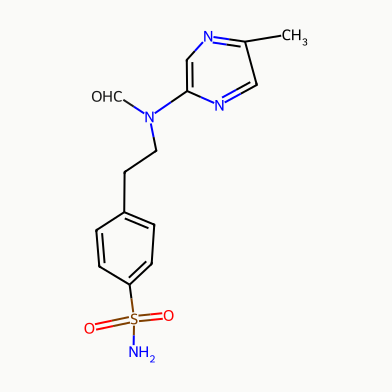 Cc1cnc(N(C=O)CCc2ccc(S(N)(=O)=O)cc2)cn1